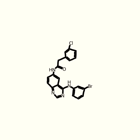 O=C(Cc1cccc(Cl)c1)Nc1ccc2ncnc(Nc3cccc(Br)c3)c2c1